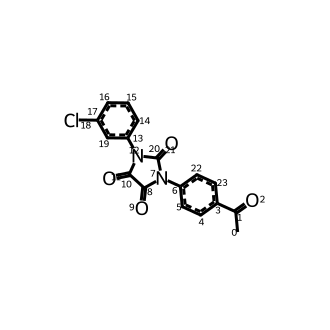 CC(=O)c1ccc(N2C(=O)C(=O)N(c3cccc(Cl)c3)C2=O)cc1